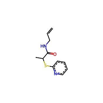 C=CCNC(=O)C(C)Sc1ccccn1